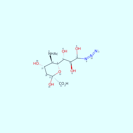 CC(=O)N[C@H]1[C@H]([C@H](O)[C@H](O)C(O)N=[N+]=[N-])O[C@](O)(C(=O)O)C[C@@H]1O